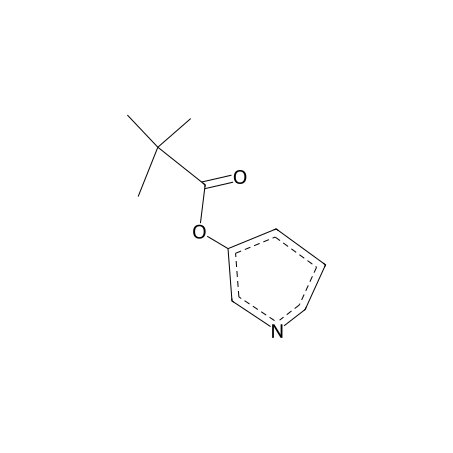 CC(C)(C)C(=O)Oc1cccnc1